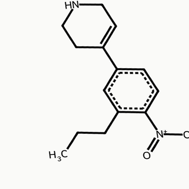 CCCc1cc(C2=CCNCC2)ccc1[N+](=O)[O-]